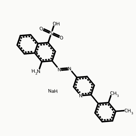 Cc1cccc(-c2ccc(/N=N/c3cc(S(=O)(=O)O)c4ccccc4c3N)cn2)c1C.[NaH]